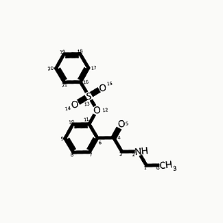 CCNCC(=O)c1ccccc1OS(=O)(=O)c1ccccc1